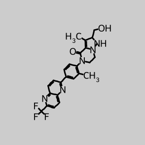 CC1=C2C(=O)N(c3ccc(-c4ccc5nc(C(F)(F)F)ccc5n4)cc3C)CCN2NC1CO